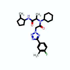 Cc1cc(-c2nnn(CC(=O)N(C3CCCCC3)C(C)C(=O)NC3CCCC3C)n2)ccc1F